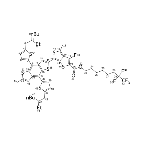 CCCCC(CC)Cc1ccc(-c2c3cc(-c4sc(C)c5c(F)c(C(=O)OCCCCCCC(F)(F)C(F)(F)F)sc45)sc3c(-c3ccc(CC(CC)CCCC)s3)c3cc(C)sc23)s1